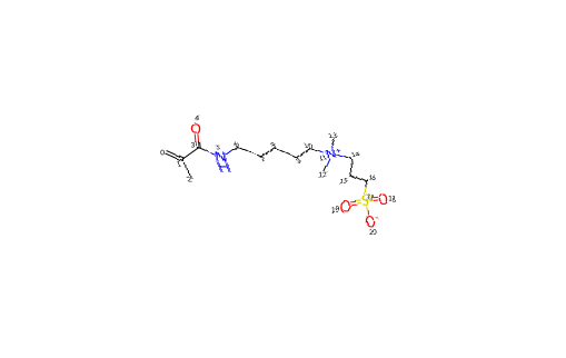 C=C(C)C(=O)NCCCCC[N+](C)(C)CCCS(=O)(=O)[O-]